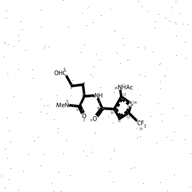 CNC(=O)C(CCC=O)NC(=O)c1cc(C(F)(F)F)sc1NC(C)=O